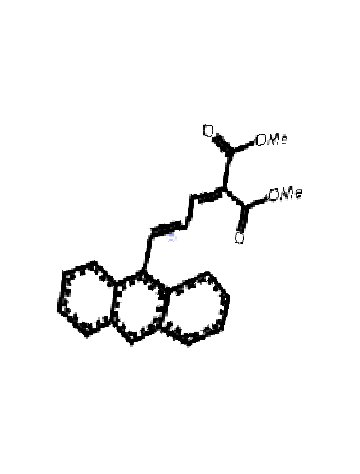 COC(=O)C(=C/C=C/c1c2ccccc2cc2ccccc12)C(=O)OC